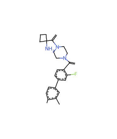 C=C(c1ccc(-c2ccc(C)c(C)c2)cc1F)N1CCN(C(=C)C2(N)CCC2)CC1